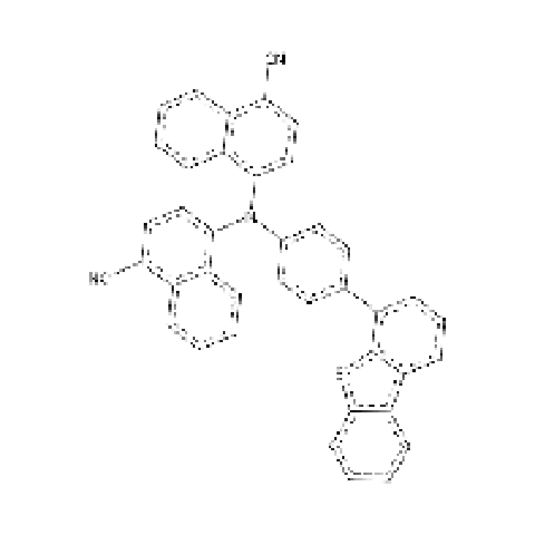 N#Cc1ccc(N(c2ccc(-c3cccc4c3sc3ccccc34)cc2)c2ccc(C#N)c3ccccc23)c2ccccc12